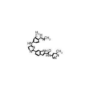 C=NNc1ccc(Nc2ccnc(-c3ccc4cc(C(=O)Nc5cnnc(C)c5)[nH]c4c3)n2)cc1C